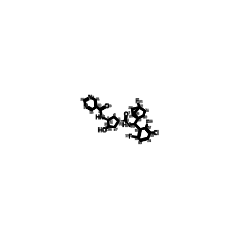 O=C(N[C@H]1C[C@H](C(=O)NC(c2c(F)ccc(Cl)c2F)C23CCC(F)(CC2)C3)C[C@H]1O)c1cncnc1